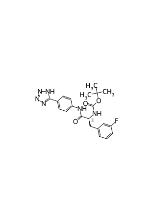 CC(C)(C)OC(=O)N[C@@H](Cc1cccc(F)c1)C(=O)Nc1ccc(-c2nnn[nH]2)cc1